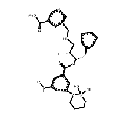 CCNc1cc(C(=O)N[C@@H](Cc2ccccc2)[C@H](O)CNCc2cncc(C(=O)OC)c2)cc(N2CCCCS2(O)O)c1